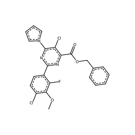 COc1c(Cl)ccc(-c2nc(C(=O)OCc3ccccc3)c(Cl)c(-n3cccc3)n2)c1F